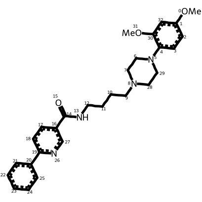 COc1ccc(N2CCN(CCCCNC(=O)c3ccc(-c4ccccc4)nc3)CC2)c(OC)c1